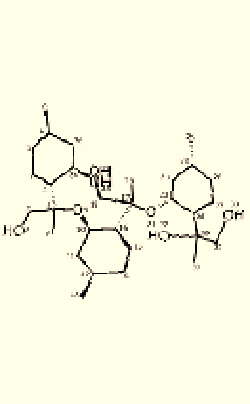 C[C@@H]1CC[C@@H](C(C)(CO)O[C@@H]2C[C@H](C)CC[C@H]2C(C)(CO)O[C@@H]2C[C@H](C)CC[C@H]2C(C)(O)CO)[C@H](O)C1